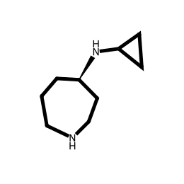 C1CNCC[C@H](NC2CC2)C1